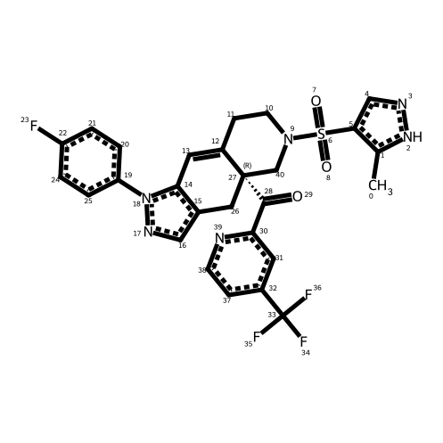 Cc1[nH]ncc1S(=O)(=O)N1CCC2=Cc3c(cnn3-c3ccc(F)cc3)C[C@]2(C(=O)c2cc(C(F)(F)F)ccn2)C1